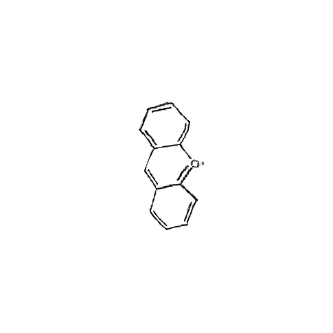 c1ccc2[o+]c3ccccc3cc2c1